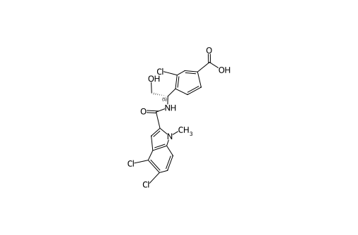 Cn1c(C(=O)N[C@H](CO)c2ccc(C(=O)O)cc2Cl)cc2c(Cl)c(Cl)ccc21